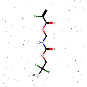 C=C(F)C(=O)OCNC(=O)OCC(F)(F)S(=O)(=O)O